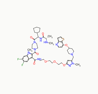 CN[C@@H](C)C(=O)NC(C(=O)N1CCN(C(=O)c2c(C(=O)NCCOCCOCCOc3cc(CN4CCC(Oc5ccnc6ccsc56)CC4)n(C)n3)c3cc(F)c(F)cc3n2C)CC1)C1CCCCC1